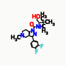 CN1CCc2c(c(-c3ccc(F)c(F)c3)nn2C(=O)NC(CO)C(C)(C)C)C1